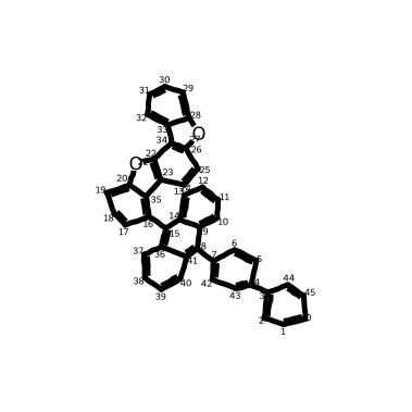 c1ccc(-c2ccc(-c3c4ccccc4c(-c4cccc5oc6c(ccc7oc8ccccc8c76)c45)c4ccccc34)cc2)cc1